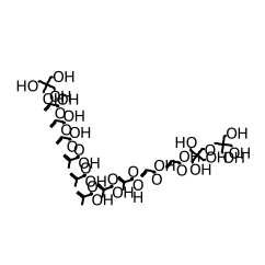 C=C(C)C(=O)O.C=C(C)C(=O)O.C=C(C)C(=O)O.C=C(C)C(=O)O.C=C(C)C(=O)O.C=CC(=O)O.C=CC(=O)O.C=CC(=O)O.C=CC(=O)O.C=CC(=O)O.OCC(CO)(CO)CO.OCC(CO)(CO)COCC(CO)(CO)CO